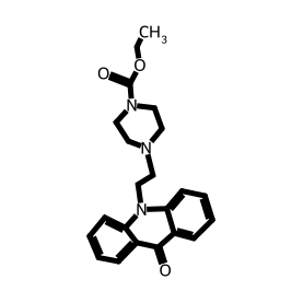 CCOC(=O)N1CCN(CCn2c3ccccc3c(=O)c3ccccc32)CC1